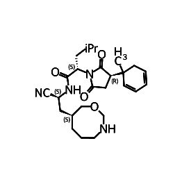 CC(C)C[C@@H](C(=O)N[C@H](C#N)C[C@@H]1CCCNCOC1)N1C(=O)C[C@H](C2(C)C=CC=CC2)C1=O